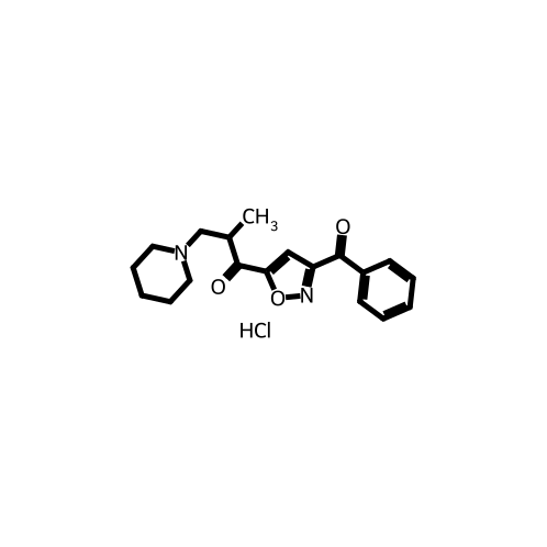 CC(CN1CCCCC1)C(=O)c1cc(C(=O)c2ccccc2)no1.Cl